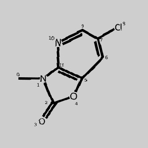 Cn1c(=O)oc2cc(Cl)cnc21